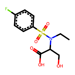 CCN(C(CO)C(=O)O)S(=O)(=O)c1ccc(F)cc1